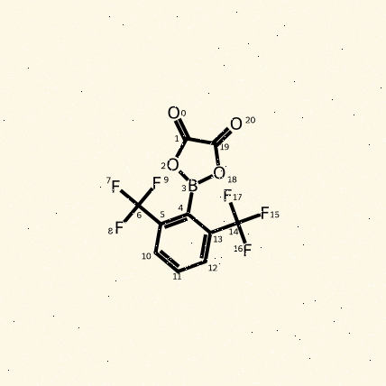 O=C1OB(c2c(C(F)(F)F)cccc2C(F)(F)F)OC1=O